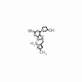 Cc1cc(Cn2nc3nc(C(C)(C)C)nc(N4CC[C@H](O)C4)c3n2)n(C)n1